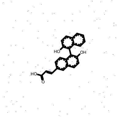 O=C(O)/C=C/c1ccc2c(-c3c(O)ccc4ccccc34)c(O)ccc2c1